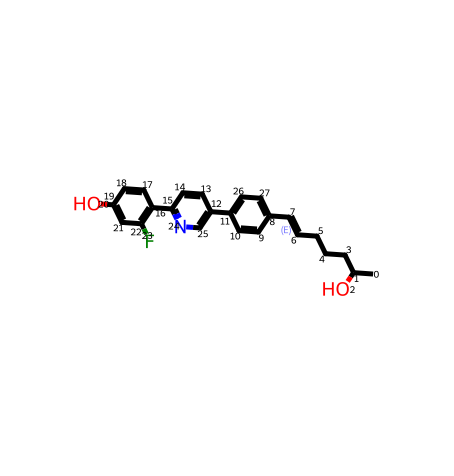 CC(O)CCC/C=C/c1ccc(-c2ccc(-c3ccc(O)cc3F)nc2)cc1